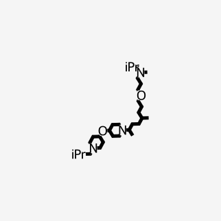 CC(C)CN1CCC(OC2CCN(C(C)CCC(C)CCCOCCCN(C)C(C)C)CC2)CC1